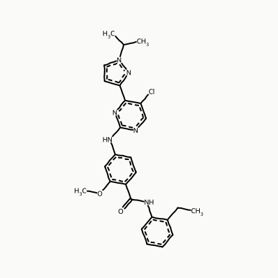 CCc1ccccc1NC(=O)c1ccc(Nc2ncc(Cl)c(-c3ccn(C(C)C)n3)n2)cc1OC